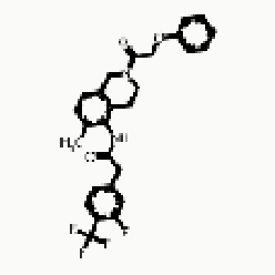 Cc1ccc2c(c1NC(=O)Cc1ccc(C(F)(F)F)c(F)c1)CCN(C(=O)COc1ccccc1)C2